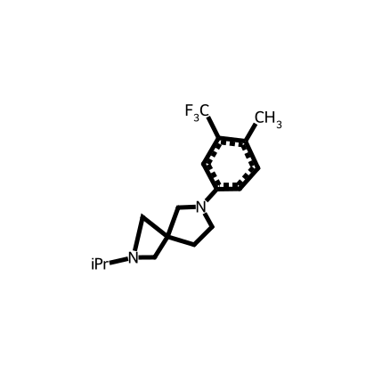 Cc1ccc(N2CCC3(C2)CN(C(C)C)C3)cc1C(F)(F)F